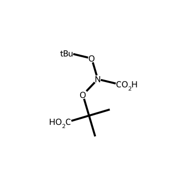 CC(C)(C)ON(OC(C)(C)C(=O)O)C(=O)O